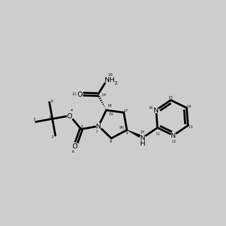 CC(C)(C)OC(=O)N1C[C@H](Nc2ncccn2)C[C@H]1C(N)=O